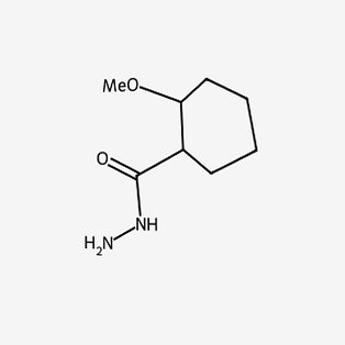 COC1CCCCC1C(=O)NN